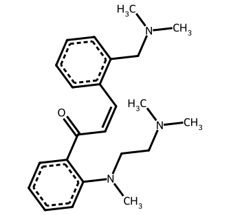 CN(C)CCN(C)c1ccccc1C(=O)C=Cc1ccccc1CN(C)C